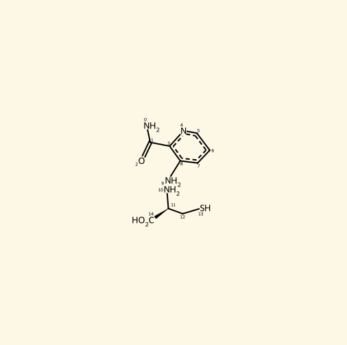 NC(=O)c1ncccc1N.N[C@@H](CS)C(=O)O